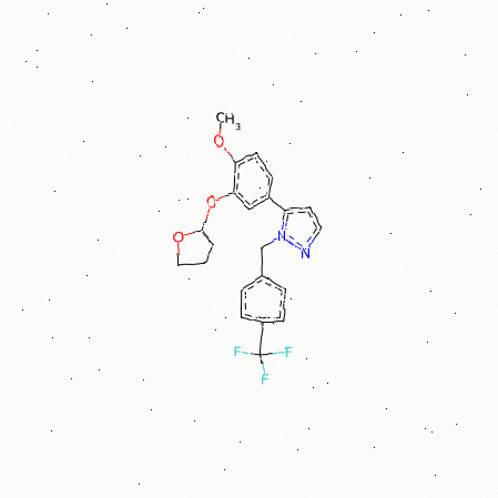 COc1ccc(-c2ccnn2Cc2ccc(C(F)(F)F)cc2)cc1OC1CCCO1